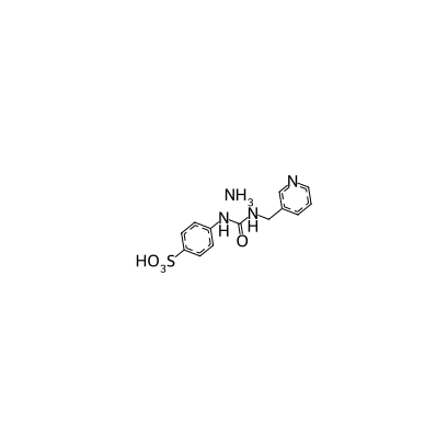 N.O=C(NCc1cccnc1)Nc1ccc(S(=O)(=O)O)cc1